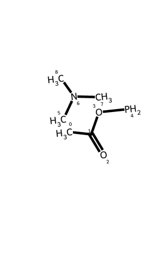 CC(=O)OP.CN(C)C